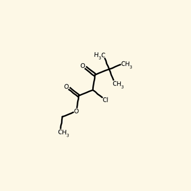 CCOC(=O)C(Cl)C(=O)C(C)(C)C